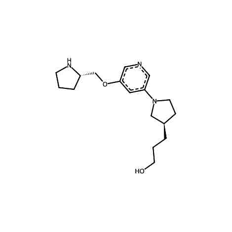 OCCC[C@@H]1CCN(c2cncc(OC[C@@H]3CCCN3)c2)C1